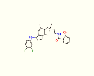 Cc1cc2c(c(C)c1CC(C)(C)CCNC(=O)c1ccccc1O)CCC2Nc1ccc(F)c(F)c1